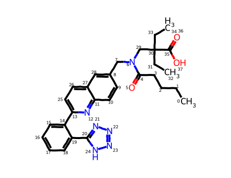 CCCCC(=O)N(Cc1ccc2nc(-c3ccccc3-c3nnn[nH]3)ccc2c1)CC(CC)(CC)C(=O)O